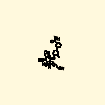 CNC(=O)c1cccc(-c2ccc(O[C@H]3OC(CO)[C@@H](O)C(O)C3(O)COCCO)c(C)c2)c1